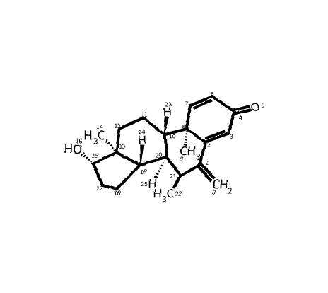 C=C1C2=CC(=O)C=C[C@]2(C)[C@H]2CC[C@]3(C)[C@@H](O)CC[C@H]3[C@@H]2C1C